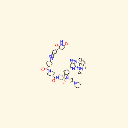 CC(C)n1cnc2cc(-c3ccc4c(c3)N([C@H]3C[C@@H](N5CCCCC5)C3)C(=O)C43CCN(C(=O)C4CCN(C(=O)[C@H]5CC[C@H](n6cc7cc(C8CCC(=O)NC8=O)ccc7n6)CC5)CC4)CC3)nc(NC3CC3)c21